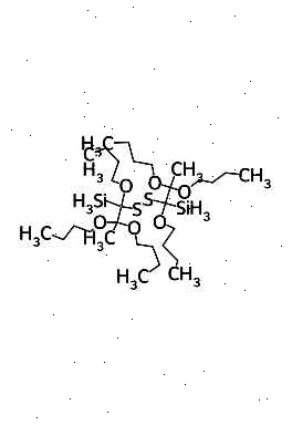 CCCCOC(C)(OCCCC)C([SiH3])(OCCCC)SSC([SiH3])(OCCCC)C(C)(OCCCC)OCCCC